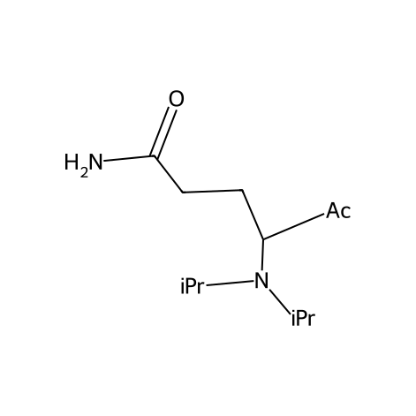 CC(=O)C(CCC(N)=O)N(C(C)C)C(C)C